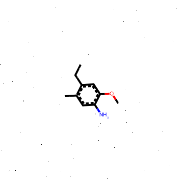 CCc1cc(OC)c(N)cc1C